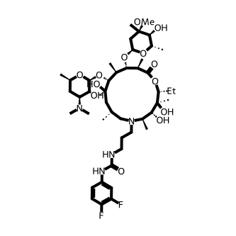 CC[C@H]1OC(=O)[C@H](C)[C@@H](O[C@H]2C[C@@](C)(OC)[C@@H](O)[C@H](C)O2)[C@H](C)[C@@H](O[C@@H]2O[C@H](C)C[C@H](N(C)C)[C@H]2O)[C@](C)(O)C[C@@H](C)CN(CCCNC(=O)Nc2ccc(F)c(F)c2)[C@H](C)[C@@H](O)[C@]1(C)O